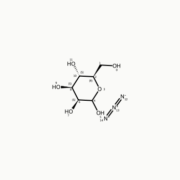 OC[C@H]1OC(O)[C@@H](O)[C@@H](O)[C@@H]1O.[N-]=[N+]=[N-]